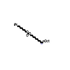 CCCCCCCC/C=C\CCCCCCCCOC(=O)OCCCCCCCC(C)C